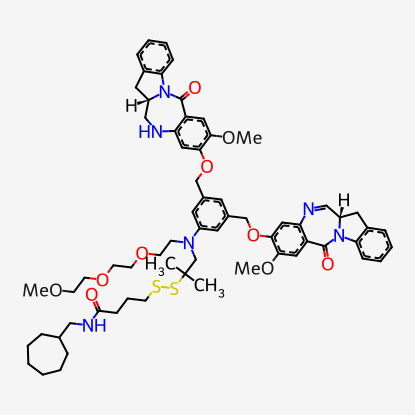 COCCOCCOCCN(CC(C)(C)SSCCCC(=O)NCC1CCCCCC1)c1cc(COc2cc3c(cc2OC)C(=O)N2c4ccccc4C[C@H]2C=N3)cc(COc2cc3c(cc2OC)C(=O)N2c4ccccc4C[C@H]2CN3)c1